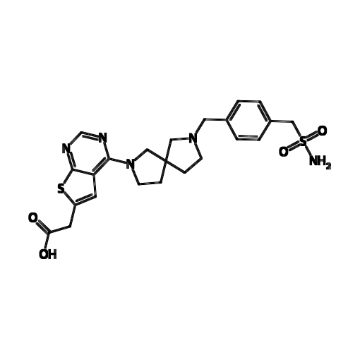 NS(=O)(=O)Cc1ccc(CN2CCC3(CCN(c4ncnc5sc(CC(=O)O)cc45)C3)C2)cc1